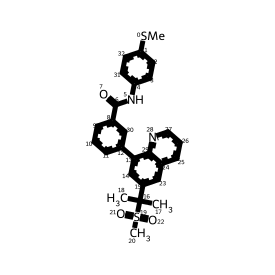 CSc1ccc(NC(=O)c2cccc(-c3cc(C(C)(C)S(C)(=O)=O)cc4cccnc34)c2)cc1